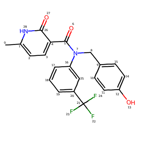 Cc1ccc(C(=O)N(Cc2ccc(O)cc2)c2cccc(C(F)(F)F)c2)c(=O)[nH]1